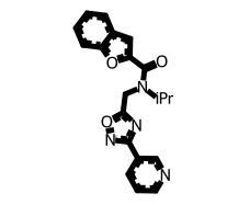 CC(C)N(Cc1nc(-c2cccnc2)no1)C(=O)c1cc2ccccc2o1